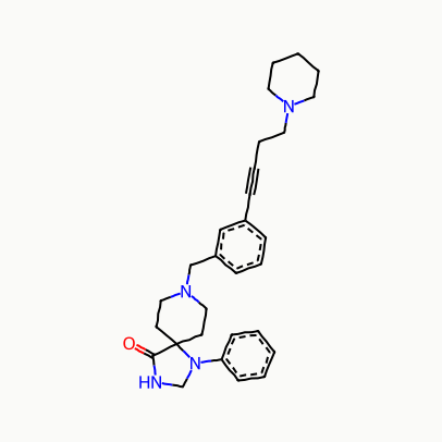 O=C1NCN(c2ccccc2)C12CCN(Cc1cccc(C#CCCN3CCCCC3)c1)CC2